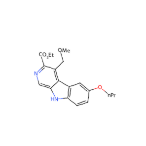 CCCOc1ccc2[nH]c3cnc(C(=O)OCC)c(COC)c3c2c1